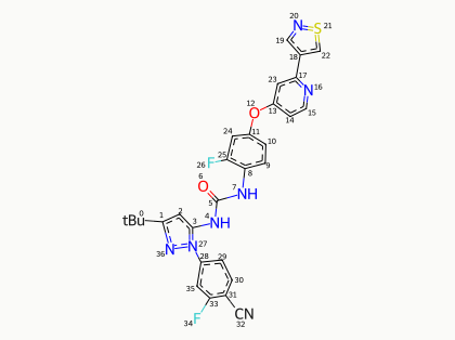 CC(C)(C)c1cc(NC(=O)Nc2ccc(Oc3ccnc(-c4cnsc4)c3)cc2F)n(-c2ccc(C#N)c(F)c2)n1